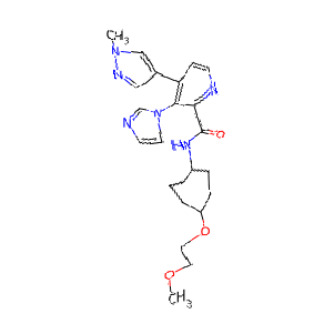 COCCOC1CCC(NC(=O)c2nccc(-c3cnn(C)c3)c2-n2ccnc2)CC1